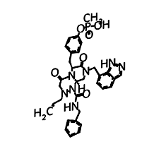 C=CCN1CC(=O)N2[C@@H](Cc3ccc(OP(C)(=O)O)cc3)C(=O)N(Cc3cccc4cn[nH]c34)C[C@@H]2N1C(=O)NCc1ccccc1